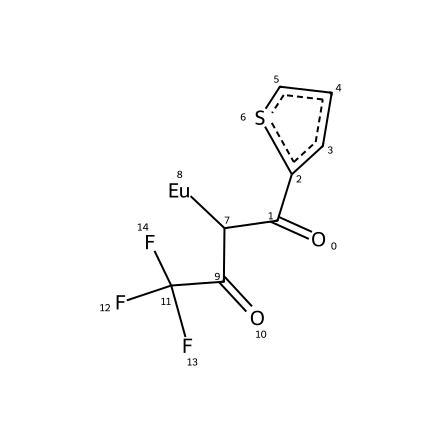 O=C(c1cccs1)[CH]([Eu])C(=O)C(F)(F)F